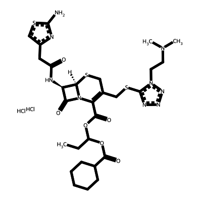 CCC(OC(=O)C1=C(CSc2nnnn2CCN(C)C)CS[C@@H]2[C@H](NC(=O)Cc3csc(N)n3)C(=O)N12)OC(=O)C1CCCCC1.Cl.Cl